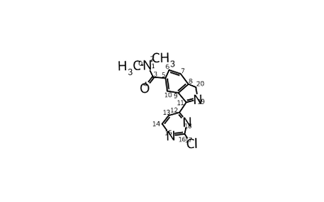 CN(C)C(=O)c1ccc2c(c1)C(c1ccnc(Cl)n1)=NC2